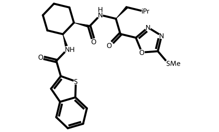 CSc1nnc(C(=O)[C@H](CC(C)C)NC(=O)[C@@H]2CCCC[C@@H]2NC(=O)c2cc3ccccc3s2)o1